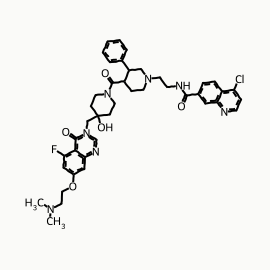 CN(C)CCOc1cc(F)c2c(=O)n(CC3(O)CCN(C(=O)C4CCN(CCNC(=O)c5ccc6c(Cl)ccnc6c5)CC4c4ccccc4)CC3)cnc2c1